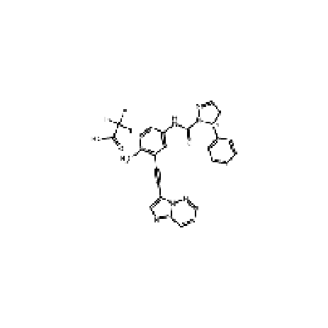 Cc1ccc(NC(=O)N2N=CC[C@H]2c2ccccc2)cc1C#Cc1cnc2cccnn12.O=C(O)C(F)(F)F